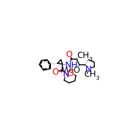 CO[C@H]([C@@H](C)C(=O)N[C@@]1(C(=O)N2CCCCO2)C[C@H]1c1ccccc1)[C@@H]1CCCN1C